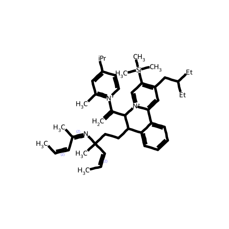 C=C(C1C(CCC(C)(/C=C\C)/N=C(C)\C=C/C)c2ccccc2-c2cc(CC(CC)CC)c([Si](C)(C)C)c[n+]21)[n+]1ccc(C(C)C)cc1C